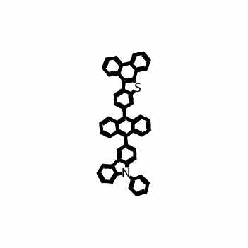 c1ccc(-n2c3ccccc3c3cc(-c4c5ccccc5c(-c5ccc6c(c5)sc5c7ccccc7c7ccccc7c65)c5ccccc45)ccc32)cc1